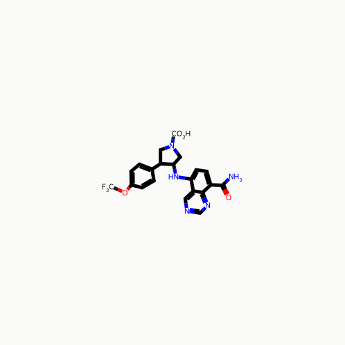 NC(=O)c1ccc(NC2CN(C(=O)O)CC2c2ccc(OC(F)(F)F)cc2)c2cncnc12